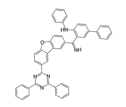 N=C(c1ccc2oc3ccc(-c4nc(-c5ccccc5)nc(-c5ccccc5)n4)cc3c2c1)c1cc(-c2ccccc2)ccc1Nc1ccccc1